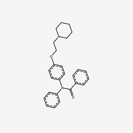 O=C(c1ccccc1)N(c1ccccc1)c1ccc(OCCN2CCCCC2)cc1